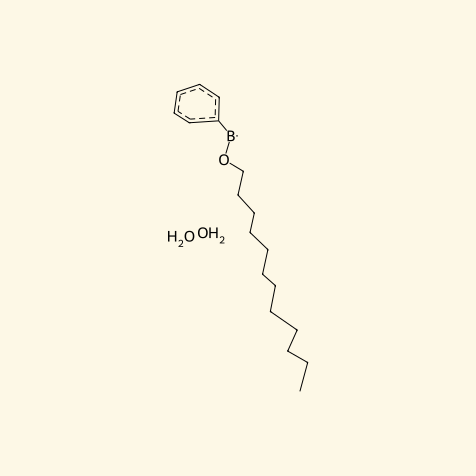 CCCCCCCCCCCCO[B]c1ccccc1.O.O